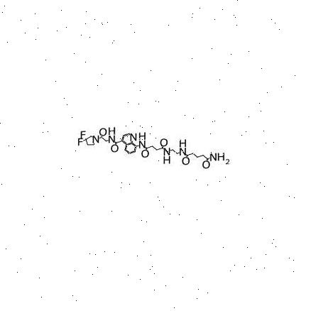 NC(=O)CCCC(=O)NCCNC(=O)CCC(=O)Nc1cccc2c(C(=O)NCC(=O)N3CCC(F)(F)C3)ccnc12